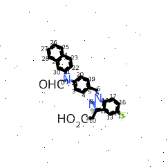 O=CN(c1ccc(Cn2nc(CC(=O)O)c3cc(F)ccc32)cc1)c1ccc2ccccc2c1